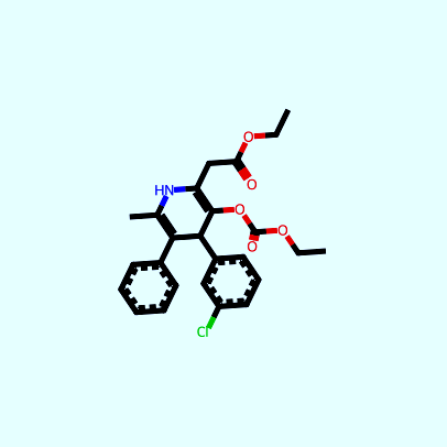 CCOC(=O)CC1=C(OC(=O)OCC)C(c2cccc(Cl)c2)C(c2ccccc2)=C(C)N1